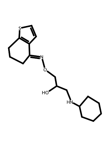 OC(CNC1CCCCC1)CO/N=C1\CCCc2sccc21